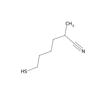 CC(C#N)CCCCS